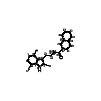 Cc1[nH]c2c(F)ccc(C)c2c1CCNC(=O)c1ccc2ccccc2c1